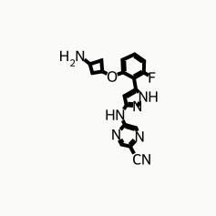 N#Cc1cnc(Nc2cc(-c3c(F)cccc3OC3CC(N)C3)[nH]n2)cn1